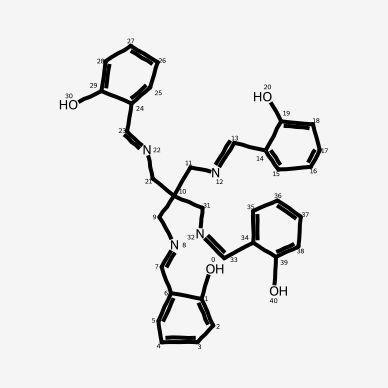 Oc1ccccc1C=NCC(CN=Cc1ccccc1O)(CN=Cc1ccccc1O)CN=Cc1ccccc1O